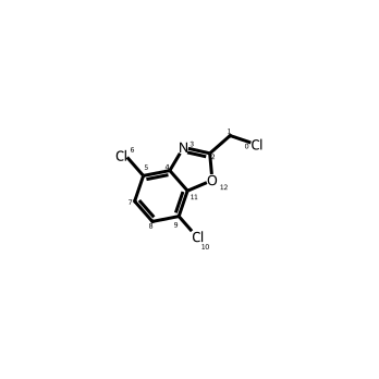 ClCc1nc2c(Cl)ccc(Cl)c2o1